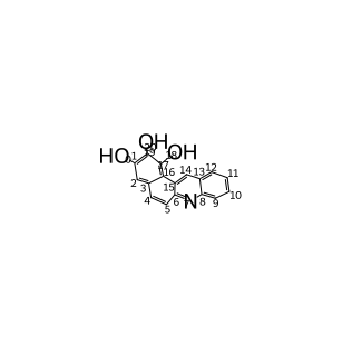 Oc1cc2ccc3nc4ccccc4cc3c2c(O)c1O